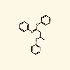 C/C(=C/C(=N/c1ccccc1)Sc1ccccc1)Sc1ccccc1